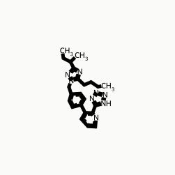 CCCCc1nc(C(C)CC)nn1Cc1ccc(-c2cccnc2-c2nnn[nH]2)cc1